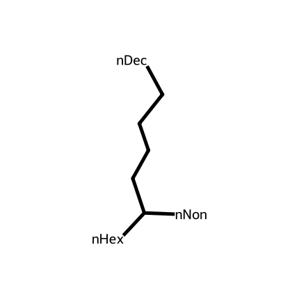 [CH2]CCCCCC(CCCCCCCCC)CCCCCCCCCCCCCC